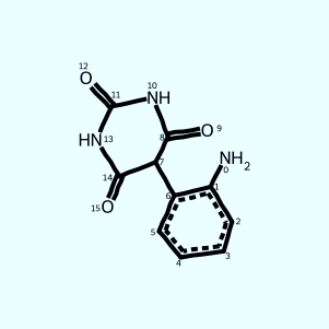 Nc1ccccc1C1C(=O)NC(=O)NC1=O